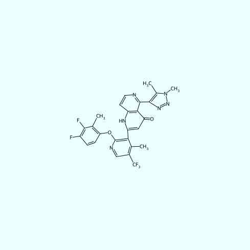 Cc1c(Oc2ncc(C(F)(F)F)c(C)c2-c2cc(=O)c3c(-c4nnn(C)c4C)nccc3[nH]2)ccc(F)c1F